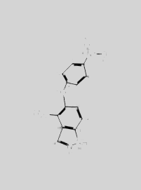 Cc1c(Oc2ccc([N+](=O)[O-])cc2)ccc2[nH]ncc12